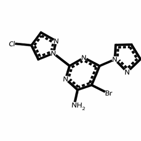 Nc1nc(-n2cc(Cl)cn2)nc(-n2cccn2)c1Br